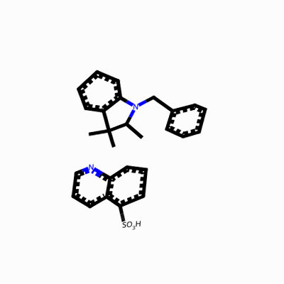 CC1N(Cc2ccccc2)c2ccccc2C1(C)C.O=S(=O)(O)c1cccc2ncccc12